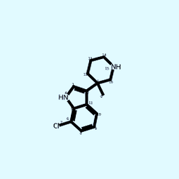 CC1(c2c[nH]c3c(Cl)cccc23)CCCNC1